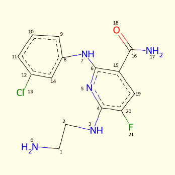 NCCNc1nc(Nc2cccc(Cl)c2)c(C(N)=O)cc1F